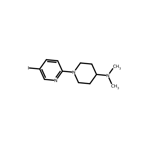 CN(C)C1CCN(c2ccc(I)cn2)CC1